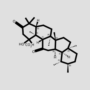 C[C@@H]1[C@H]2[C@H]3CC(=O)[C@@H]4[C@]5(C)[C@@H](CC[C@@]4(C)[C@]3(C)CC[C@@]2(C)CC[C@H]1C)C(C)(C)C(=O)CC5(O)C(=O)O